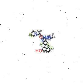 Oc1cc(-c2c(F)cc3c(N4CC5CCC(C4)N5)nc(OCC4(CN5CCCC(F)(F)C5)CC4)nc3c2F)c2c(F)c(F)ccc2c1